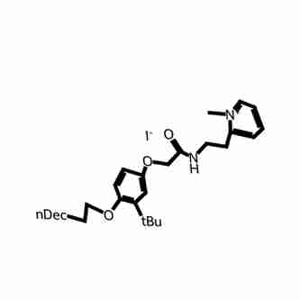 CCCCCCCCCCCCOc1ccc(OCC(=O)NCCc2cccc[n+]2C)cc1C(C)(C)C.[I-]